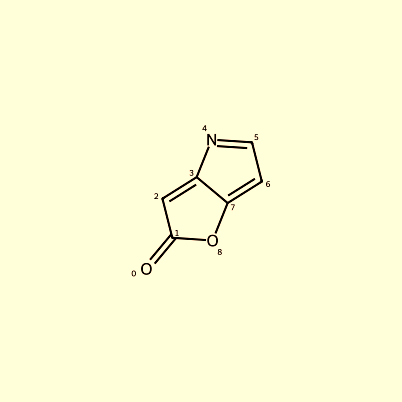 O=C1C=C2N=CC=C2O1